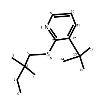 CCC(C)(C)CSc1ncccc1C(C)(C)C